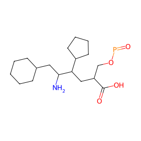 NC(CC1CCCCC1)C(CC(COP=O)C(=O)O)C1CCCC1